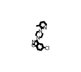 Cc1cccnc1N1CCN(c2noc3ccc(Cl)cc23)CC1